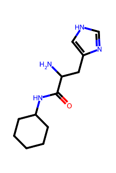 NC(Cc1c[nH]cn1)C(=O)NC1CCCCC1